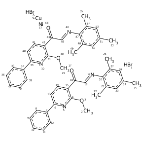 Br.Br.COc1nc(-c2ccccc2)ccc1C(=O)C=Nc1c(C)cc(C)cc1C.COc1nc(-c2ccccc2)ccc1C(=O)C=Nc1c(C)cc(C)cc1C.[Cu].[Ni]